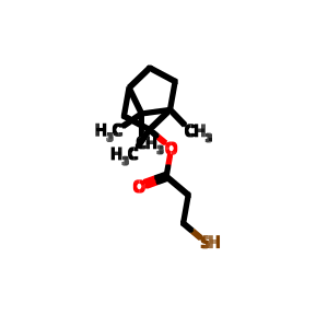 CC1(OC(=O)CCS)CC2CCC1(C)C2(C)C